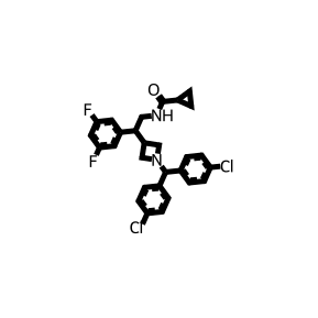 O=C(NCC(c1cc(F)cc(F)c1)C1CN(C(c2ccc(Cl)cc2)c2ccc(Cl)cc2)C1)C1CC1